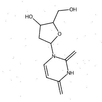 C=C1C=CN(C2CC(O)C(CO)O2)C(=C)N1